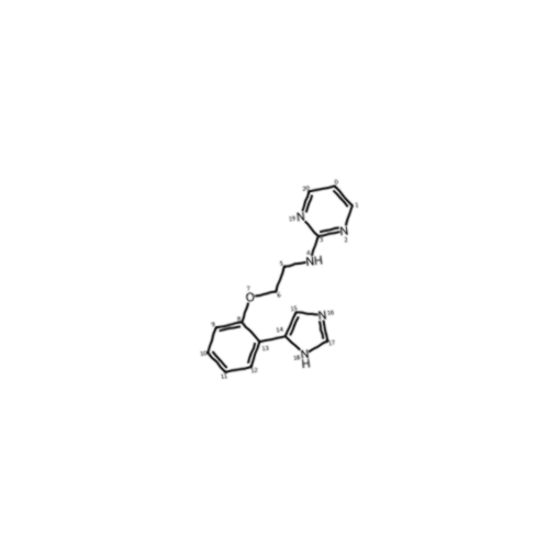 c1cnc(NCCOc2ccccc2-c2cnc[nH]2)nc1